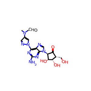 CN(C=O)c1cnn(-c2nc(N)nc3c2ncn3[C@H]2C(=O)[C@H](CO)[C@H](O)[C@@H]2O)c1